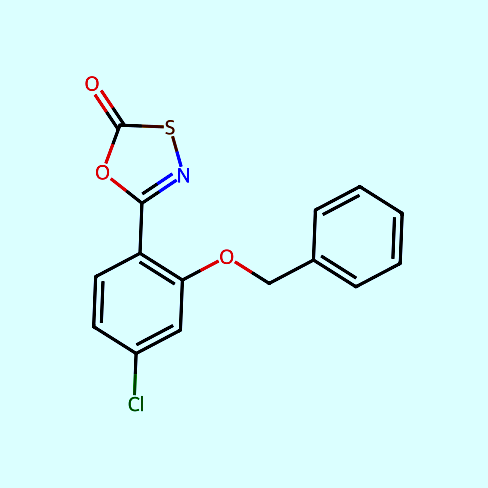 O=c1oc(-c2ccc(Cl)cc2OCc2ccccc2)ns1